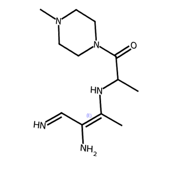 C/C(NC(C)C(=O)N1CCN(C)CC1)=C(\N)C=N